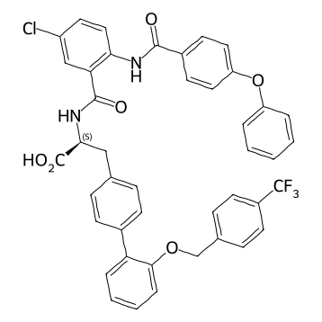 O=C(Nc1ccc(Cl)cc1C(=O)N[C@@H](Cc1ccc(-c2ccccc2OCc2ccc(C(F)(F)F)cc2)cc1)C(=O)O)c1ccc(Oc2ccccc2)cc1